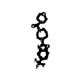 O=C(N1CCOCC1)N1CCCN(c2nc3cc(C(F)(F)F)ccc3o2)CC1